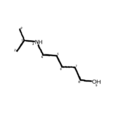 CC(C)NCCCCCO